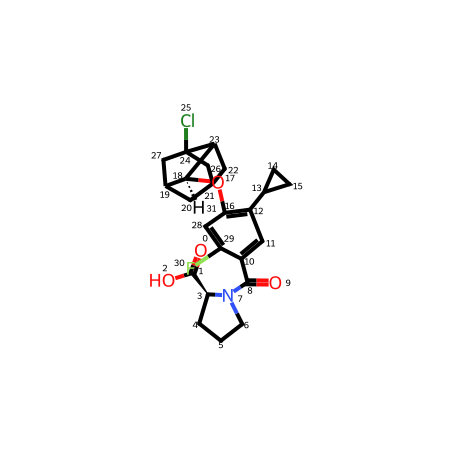 O=C(O)[C@@H]1CCCN1C(=O)c1cc(C2CC2)c(O[C@H]2C3CC4CC2C(Cl)(C4)C3)cc1F